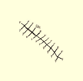 OC(F)(C(F)(F)C(F)(F)F)C(F)(F)C(F)(F)C(F)(F)C(F)(F)C(F)(F)C(F)(F)C(F)(F)F